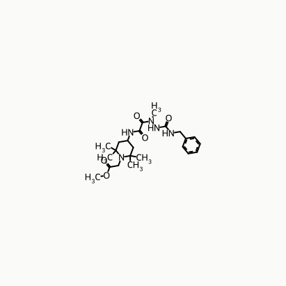 COC(=O)CN1C(C)(C)CC(NC(=O)C(=O)N(C)NC(=O)NCc2ccccc2)CC1(C)C